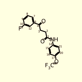 O=C(CCC(=O)c1cccc(F)c1)Nc1ccc(OC(F)(F)F)cc1